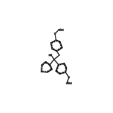 CCCCCCCCOc1ccc(CC(S)(c2ccccc2)c2ccc(OCCCCCCCC)cc2)cc1